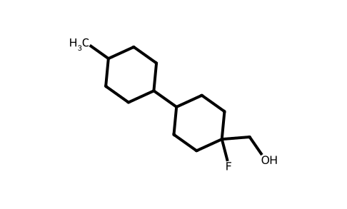 CC1CCC(C2CCC(F)(CO)CC2)CC1